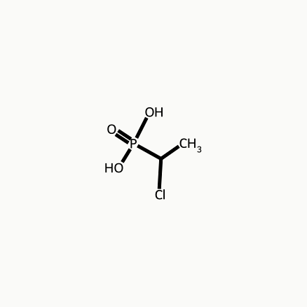 CC(Cl)P(=O)(O)O